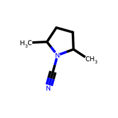 CC1CCC(C)N1C#N